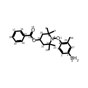 Bc1ccc(ON2C(C)(C)CC(OC(=O)c3ccccc3)CC2(C)C)c(C)c1